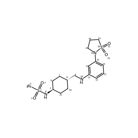 CC(C)S(=O)(=O)N[C@H]1CC[C@H](CNc2cccc(N3CCCS3(=O)=O)c2)CC1